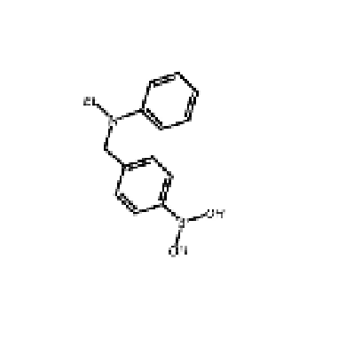 CCN(Cc1ccc(B(O)O)cc1)c1ccccc1